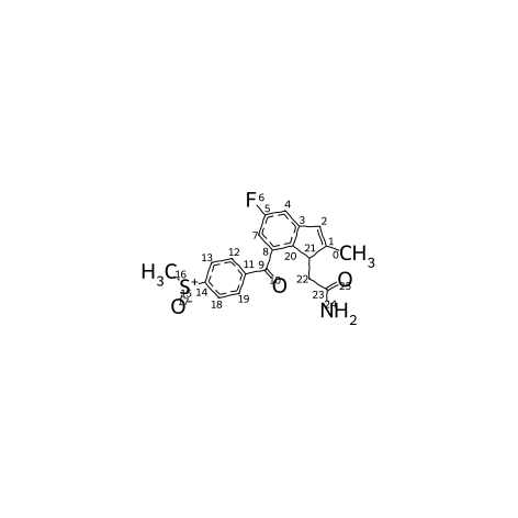 CC1=Cc2cc(F)cc(C(=O)c3ccc([S+](C)[O-])cc3)c2C1CC(N)=O